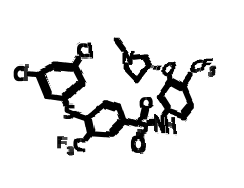 CN1CC[C@@H](Oc2cc(NS(=O)(=O)c3ccc(Sc4cc(Cl)cc(Cl)c4)c(C(F)(F)F)c3)ccc2C(F)(F)F)C1